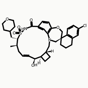 C[C@@H]1C/C=C/[C@H](O)[C@@H]2CC[C@H]2CN2C[C@@]3(CCCc4cc(Cl)ccc43)COc3ccc(cc32)C(=O)NS(=O)(=O)[C@H]1CC1CCOCC1